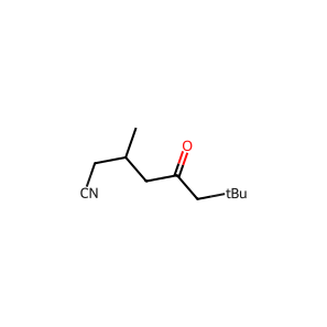 CC(CC#N)CC(=O)CC(C)(C)C